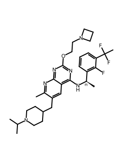 Cc1nc2nc(OCCN3CCC3)nc(N[C@H](C)c3cccc(C(C)(F)F)c3F)c2cc1CC1CCN(C(C)C)CC1